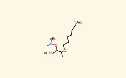 CCCCCCCCCCCCCCCCOC(C)C(CCCCCCC)ON(C)CCCC